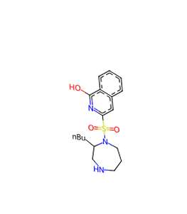 CCCCC1CNCCCN1S(=O)(=O)c1cc2ccccc2c(O)n1